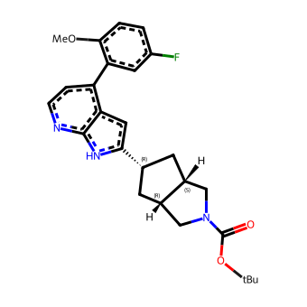 COc1ccc(F)cc1-c1ccnc2[nH]c([C@@H]3C[C@@H]4CN(C(=O)OC(C)(C)C)C[C@@H]4C3)cc12